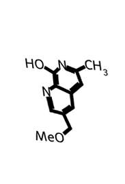 COCc1cnc2c(O)nc(C)cc2c1